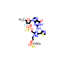 COP(=O)(S)OCCn1nc(-c2cncs2)nc1COP(=O)(S)O[C@@H]1[C@H](F)[C@@H](C)O[C@H]1n1cnc2c(=O)[nH]c(N)nc21